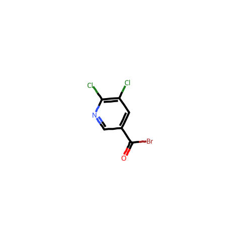 O=C(Br)c1cnc(Cl)c(Cl)c1